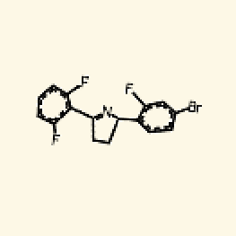 Fc1cc(Br)ccc1C1CCC(c2c(F)cccc2F)=N1